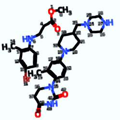 COC(=O)CCNc1ccc(Br)cc1C.Cc1cc(N2CCC(CN3CCNCC3)CC2)ccc1N1CCC(=O)NC1=O